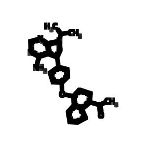 CC(=O)c1ccc(Oc2ccc(-c3cn(C(C)C)c4ncnc(N)c34)cc2)c2ccccc12